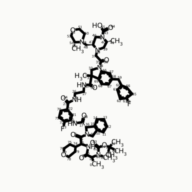 CC(C(=O)NC(C(=O)N1Cc2ccccc2[C@H]1C(=O)Nc1cc(C(=O)NCCNC(=O)C2(C)CN(C(=O)CN3C[C@@H](C)N(C(=O)O)C[C@@H]3CN3CCOC[C@H]3C)c3cc(Cc4ccc(F)cc4)ccc32)ccc1F)C1CCOCC1)N(C)C(=O)OC(C)(C)C